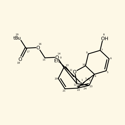 CCN1CCC23C=CC(O)CC2Oc2c(OCOC(=O)C(C)(C)C)ccc(c23)C1